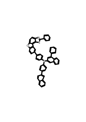 c1ccc(-c2nc3ccc4oc5ccc(-c6ccc(N(c7ccc(-c8ccc9ccccc9c8)cc7)c7cc(-c8ccccc8)c8ccccc8c7)cc6)cc5c4c3s2)cc1